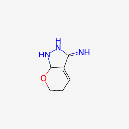 N=C1NNC2OCCC=C12